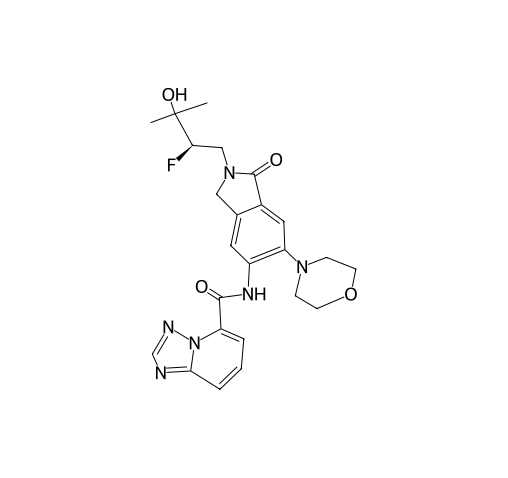 CC(C)(O)[C@H](F)CN1Cc2cc(NC(=O)c3cccc4ncnn34)c(N3CCOCC3)cc2C1=O